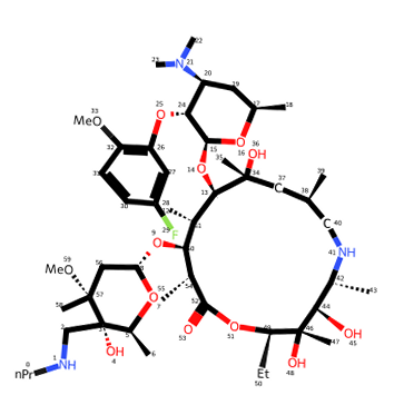 CCCNC[C@]1(O)[C@H](C)O[C@@H](O[C@H]2[C@H](C)[C@@H](O[C@@H]3O[C@H](C)C[C@H](N(C)C)[C@H]3Oc3cc(F)ccc3OC)[C@](C)(O)C[C@@H](C)CN[C@H](C)[C@@H](O)[C@](C)(O)[C@@H](CC)OC(=O)[C@@H]2C)C[C@@]1(C)OC